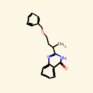 CC(CCOCc1ccccc1)c1nc2ccccc2c(=O)[nH]1